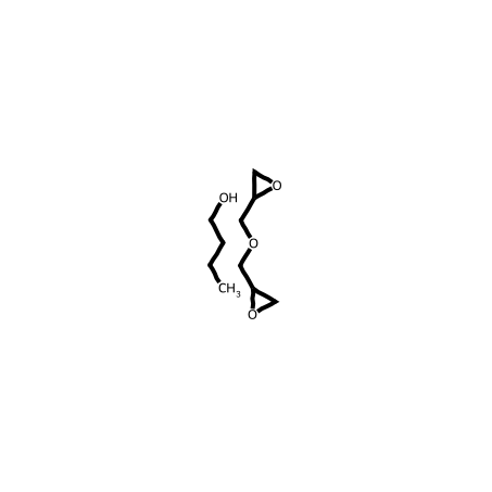 C(OCC1CO1)C1CO1.CCCCO